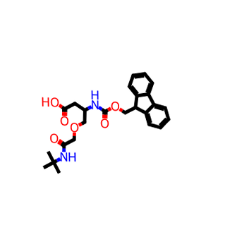 CC(C)(C)NC(=O)COCC(CC(=O)O)NC(=O)OCC1c2ccccc2-c2ccccc21